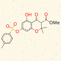 COC(=O)C1C(=O)c2c(O)cc(OS(=O)(=O)c3ccc(C)cc3)cc2OC1(C)C